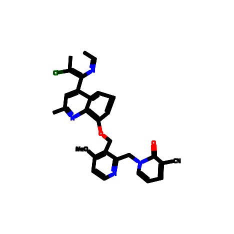 C/C=N\C(=C(/C)Cl)c1cc(C)nc2c(OCc3c(OC)ccnc3Cn3cccc(C#N)c3=O)cccc12